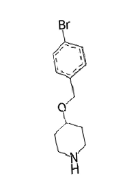 Brc1ccc(COC2CCNCC2)cc1